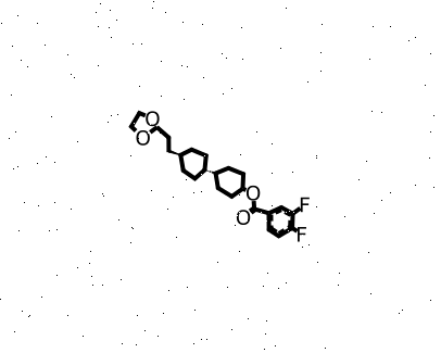 O=C(OC1CCC([C@H]2CC[C@H](CCC3OCCO3)CC2)CC1)c1ccc(F)c(F)c1